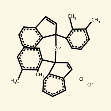 Cc1cccc([C]2([Zr+2][C]3(c4cccc(C)c4C)C=Cc4ccccc43)C=Cc3ccccc32)c1C.[Cl-].[Cl-]